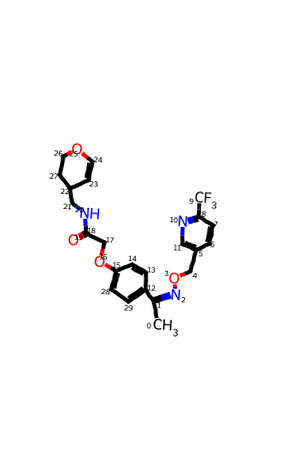 C/C(=N/OCc1ccc(C(F)(F)F)nc1)c1ccc(OCC(=O)NCC2C=COCC2)cc1